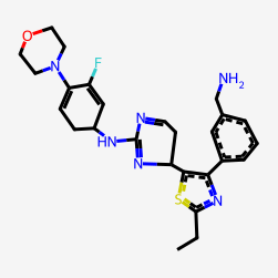 CCc1nc(-c2cccc(CN)c2)c(C2CC=NC(NC3C=C(F)C(N4CCOCC4)=CC3)=N2)s1